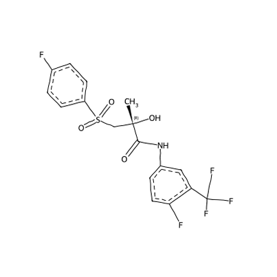 C[C@](O)(CS(=O)(=O)c1ccc(F)cc1)C(=O)Nc1ccc(F)c(C(F)(F)F)c1